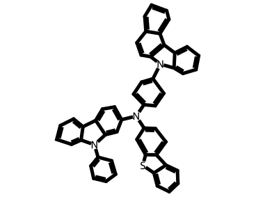 c1ccc(-n2c3ccccc3c3ccc(N(c4ccc(-n5c6ccccc6c6c7ccccc7ccc65)cc4)c4ccc5c(c4)sc4ccccc45)cc32)cc1